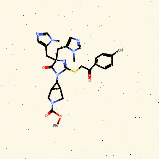 Cn1cncc1CC1(Cc2cncn2C)N=C(SCC(=O)c2ccc(C#N)cc2)N(C2C3CN(C(=O)OC(C)(C)C)CC32)C1=O